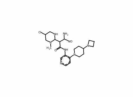 CN1CC(Cl)CNC1C(C(=O)Nc1cnccc1N1CCC(N2CCC2)CC1)C(N)N=O